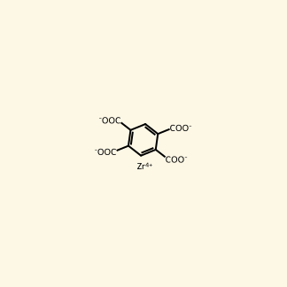 O=C([O-])c1cc(C(=O)[O-])c(C(=O)[O-])cc1C(=O)[O-].[Zr+4]